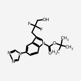 CC(C)(C)OC(=O)n1cc(CC(F)(F)CO)c2cc(-n3cnnc3)ccc21